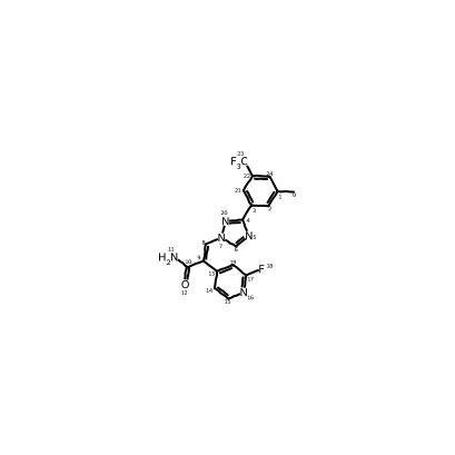 Cc1cc(-c2ncn(/C=C(/C(N)=O)c3ccnc(F)c3)n2)cc(C(F)(F)F)c1